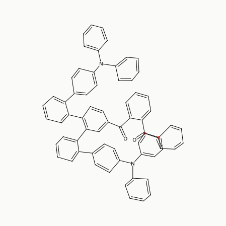 O=C(c1ccccc1)c1ccccc1C(=O)c1ccc(-c2ccccc2-c2ccc(N(c3ccccc3)c3ccccc3)cc2)c(-c2ccccc2-c2ccc(N(c3ccccc3)c3ccccc3)cc2)c1